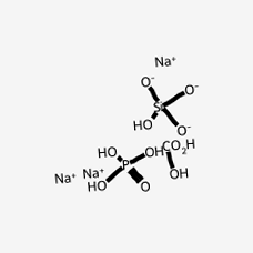 O=C(O)O.O=P(O)(O)O.[Na+].[Na+].[Na+].[O-][Si]([O-])([O-])O